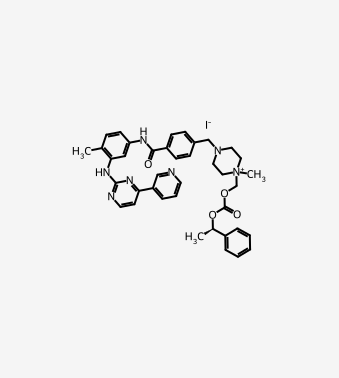 Cc1ccc(NC(=O)c2ccc(CN3CC[N+](C)(COC(=O)O[C@H](C)c4ccccc4)CC3)cc2)cc1Nc1nccc(-c2cccnc2)n1.[I-]